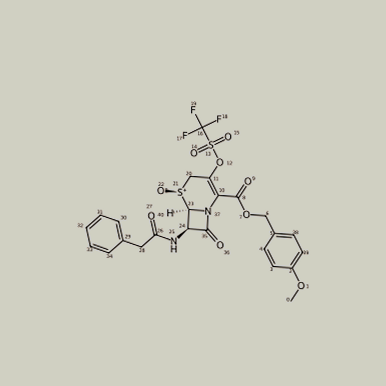 COc1ccc(COC(=O)C2=C(OS(=O)(=O)C(F)(F)F)C[S@+]([O-])[C@@H]3[C@H](NC(=O)Cc4ccccc4)C(=O)N23)cc1